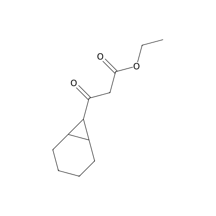 CCOC(=O)CC(=O)C1C2CCCCC21